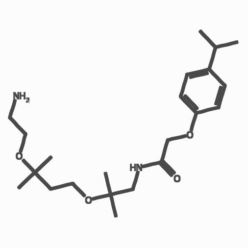 CC(C)c1ccc(OCC(=O)NCC(C)(C)OCCC(C)(C)OCCN)cc1